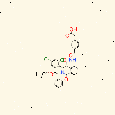 CCOC[C@H](c1ccccc1)N1C(=O)c2ccccc2[C@@H](C(=O)NOCc2ccc(CC(=O)O)cc2)[C@@H]1c1ccc(Cl)cc1Cl